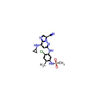 Cc1cc(Cl)c(Nc2cc(NC3CC3)c3ncc(C#N)n3n2)cc1NS(C)(=O)=O